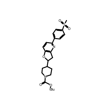 CC(C)(C)OC(=O)N1CCC(C2Cc3nc(-c4ccc(S(C)(=O)=O)cc4)ccc3O2)CC1